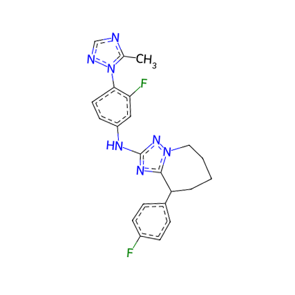 Cc1ncnn1-c1ccc(Nc2nc3n(n2)CCCCC3c2ccc(F)cc2)cc1F